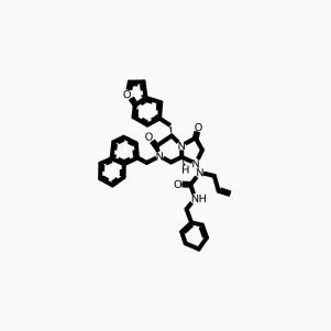 C=CCN(C(=O)NCC1=CCCC=C1)N1CC(=O)N2[C@@H](Cc3ccc4occc4c3)C(=O)N(Cc3cccc4ccccc34)C[C@@H]21